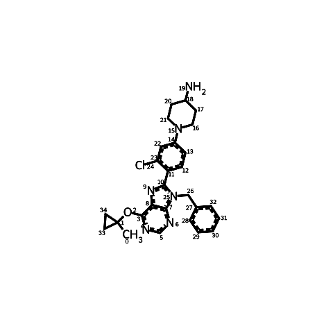 CC1(Oc2ncnc3c2nc(-c2ccc(N4CCC(N)CC4)cc2Cl)n3Cc2ccccc2)CC1